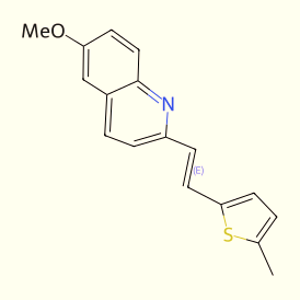 COc1ccc2nc(/C=C/c3ccc(C)s3)ccc2c1